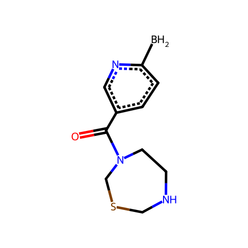 Bc1ccc(C(=O)N2CCNCSC2)cn1